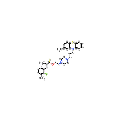 CC(Cc1cccc(C(F)(F)F)c1F)C(=S)OCCN1CCN(CCCN2c3ccccc3Sc3ccc(C(F)(F)F)cc32)CC1